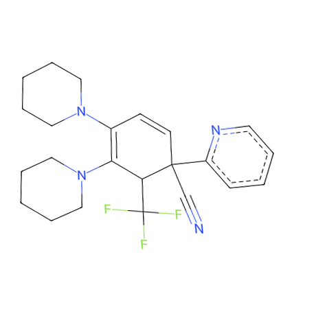 N#CC1(c2ccccn2)C=CC(N2CCCCC2)=C(N2CCCCC2)C1C(F)(F)F